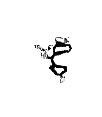 CC(C)(C)[S+]([O-])NC(c1ccc(Cl)cc1)c1cccc(C#N)c1